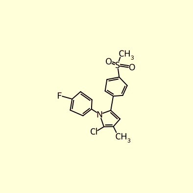 Cc1cc(-c2ccc(S(C)(=O)=O)cc2)n(-c2ccc(F)cc2)c1Cl